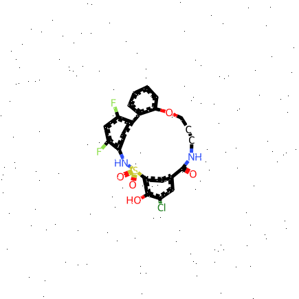 O=C1NCCCOc2ccccc2-c2cc(c(F)cc2F)NS(=O)(=O)c2cc1cc(Cl)c2O